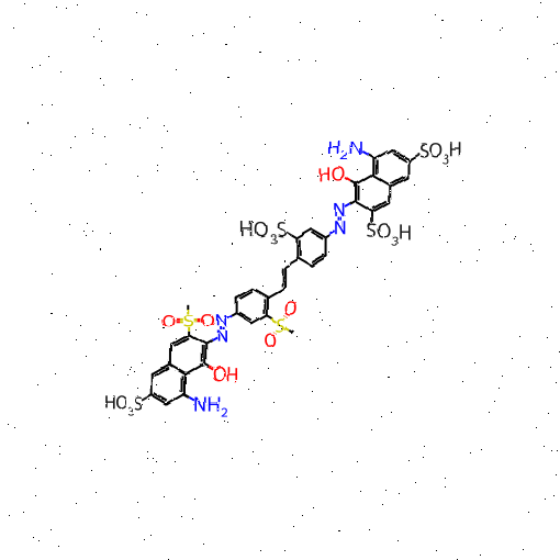 CS(=O)(=O)c1cc(/N=N/c2c(S(C)(=O)=O)cc3cc(S(=O)(=O)O)cc(N)c3c2O)ccc1/C=C/c1ccc(/N=N/c2c(S(=O)(=O)O)cc3cc(S(=O)(=O)O)cc(N)c3c2O)cc1S(=O)(=O)O